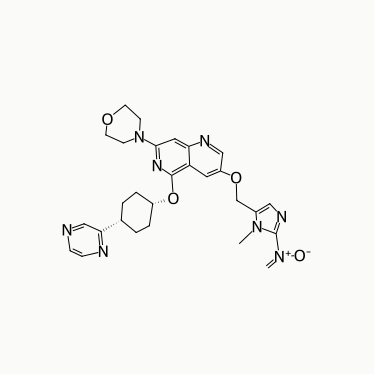 C=[N+]([O-])c1ncc(COc2cnc3cc(N4CCOCC4)nc(O[C@H]4CC[C@@H](c5cnccn5)CC4)c3c2)n1C